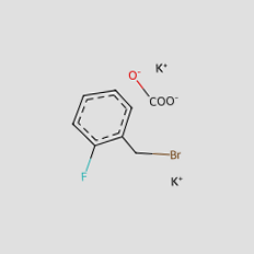 Fc1ccccc1CBr.O=C([O-])[O-].[K+].[K+]